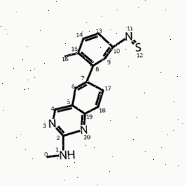 CNc1ncc2cc(-c3cc(N=S)ccc3C)ccc2n1